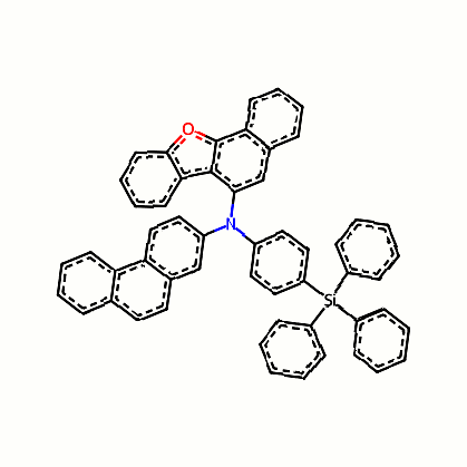 c1ccc([Si](c2ccccc2)(c2ccccc2)c2ccc(N(c3ccc4c(ccc5ccccc54)c3)c3cc4ccccc4c4oc5ccccc5c34)cc2)cc1